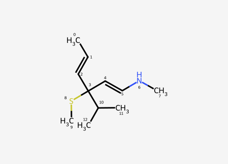 CC=CC(C=CNC)(SC)C(C)C